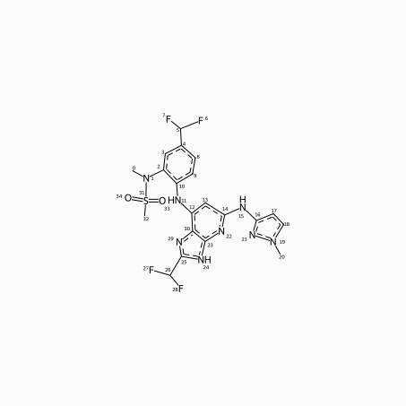 CN(c1cc(C(F)F)ccc1Nc1cc(Nc2ccn(C)n2)nc2[nH]c(C(F)F)nc12)S(C)(=O)=O